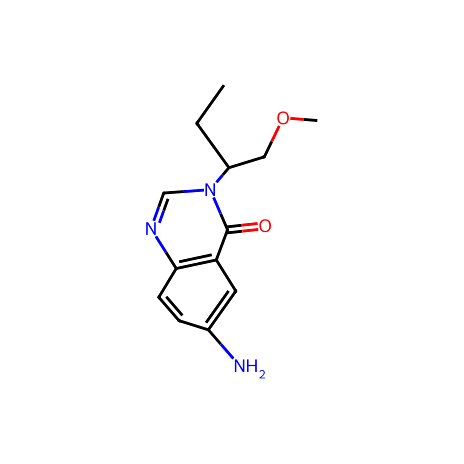 CCC(COC)n1cnc2ccc(N)cc2c1=O